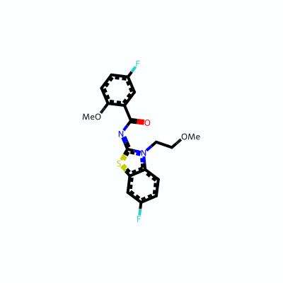 COCCn1c(=NC(=O)c2cc(F)ccc2OC)sc2cc(F)ccc21